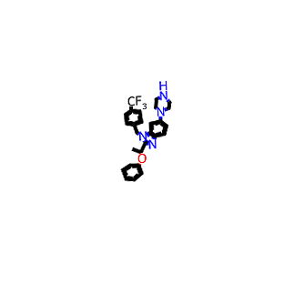 CC(Oc1ccccc1)c1nc2ccc(N3CCNCC3)cc2n1Cc1ccc(C(F)(F)F)cc1